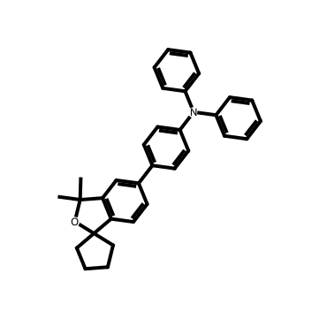 CC1(C)OC2(CCCC2)c2ccc(-c3ccc(N(c4ccccc4)c4ccccc4)cc3)cc21